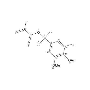 C=C(C)C(=O)OC(C)(CC)c1cc(C)c(OC(C)=O)c(OC)c1